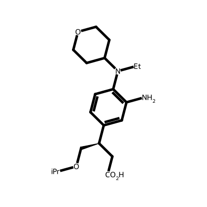 CCN(c1ccc([C@H](COC(C)C)CC(=O)O)cc1N)C1CCOCC1